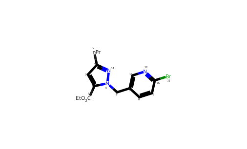 CCCc1cc(C(=O)OCC)n(Cc2ccc(Br)nc2)n1